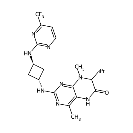 Cc1nc(N[C@H]2C[C@H](Nc3nccc(C(F)(F)F)n3)C2)nc2c1NC(=O)C(C(C)C)N2C